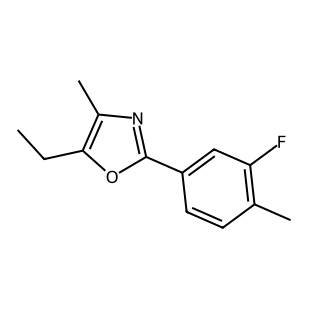 CCc1oc(-c2ccc(C)c(F)c2)nc1C